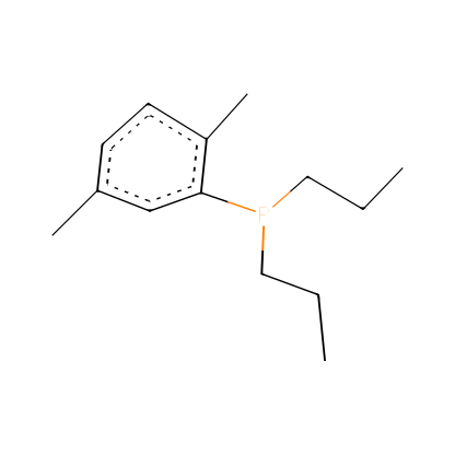 CCCP(CCC)c1cc(C)ccc1C